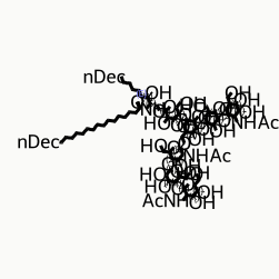 CCCCCCCCCCCCC/C=C/[C@@H](O)[C@H](CO[C@@H]1OC(CO)[C@@H](O[C@@H]2OC(CO[C@@H]3OC(CO)[C@@H](O[C@@H]4OC(CO)[C@H](O[C@@H]5OC(CO)[C@H](O)[C@H](O)C5NC(C)=O)[C@H](O)C4O)[C@H](O)C3NC(C)=O)[C@H](O)[C@H](O[C@H]3OC(CO)[C@H](O)[C@H](O[C@@H]4OC(CO)[C@H](O)[C@H](O)C4NC(C)=O)C3O)C2O)[C@H](O)C1O)NC(=O)CCCCCCCCCCCCCCCCCCCCCCCCC